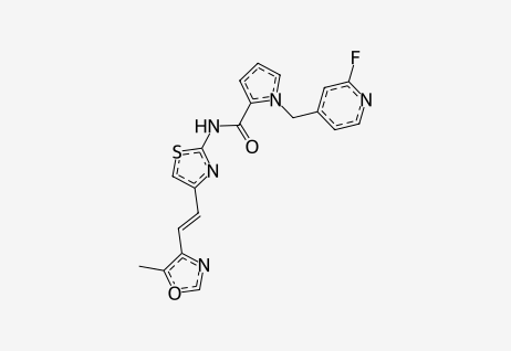 Cc1ocnc1/C=C/c1csc(NC(=O)c2cccn2Cc2ccnc(F)c2)n1